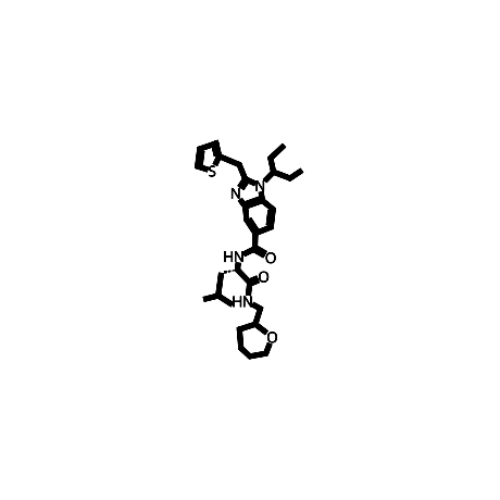 CCC(CC)n1c(Cc2cccs2)nc2cc(C(=O)N[C@@H](CC(C)C)C(=O)NCC3CCCCO3)ccc21